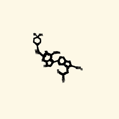 CC[C@]1(O)CC[C@@H](Nc2nc(OC)c3c(-c4ccc5nc(C)n(CC(F)F)c5c4)c[nH]c3n2)CC1